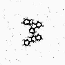 c1ccc2c(-c3ccc4c(c3)c3ccccc3c3nc5ccccc5n43)c3sc4ccccc4c3nc2c1